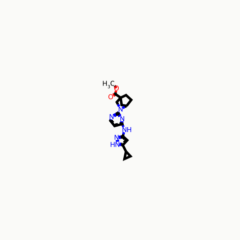 COC(=O)C12CCC(C1)N(c1nccc(Nc3cc(C4CC4)[nH]n3)n1)C2